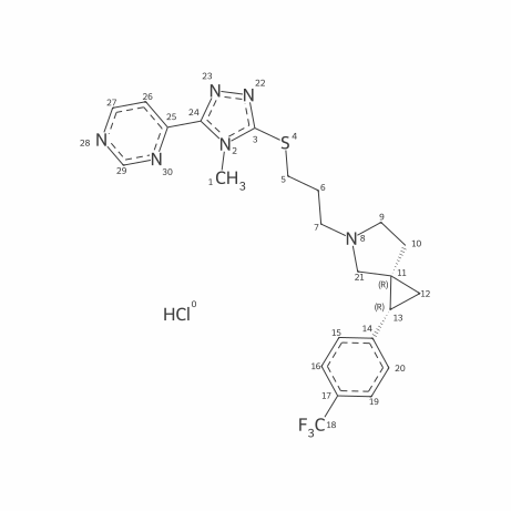 Cl.Cn1c(SCCCN2CC[C@@]3(C[C@@H]3c3ccc(C(F)(F)F)cc3)C2)nnc1-c1ccncn1